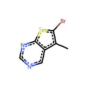 Cc1c(Br)sc2ncncc12